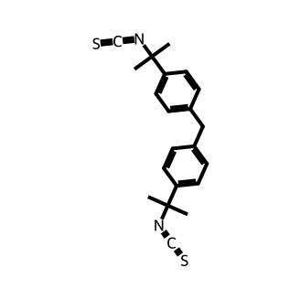 CC(C)(N=C=S)c1ccc(Cc2ccc(C(C)(C)N=C=S)cc2)cc1